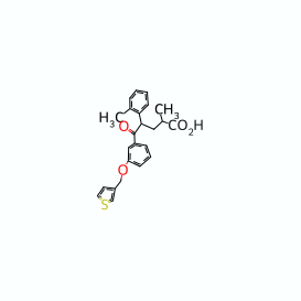 Cc1ccccc1C(CC(C)C(=O)O)C(=O)c1cccc(OCc2ccsc2)c1